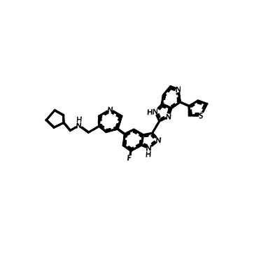 Fc1cc(-c2cncc(CNCC3CCCC3)c2)cc2c(-c3nc4c(-c5ccsc5)nccc4[nH]3)n[nH]c12